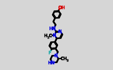 C[C@H]1CNCCN1Cc1cc(C2C=CN=C(NCCc3ccc(O)cc3)N2C)ccc1F